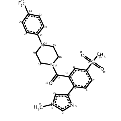 Cn1cnc(-c2ccc(S(C)(=O)=O)cc2C(=O)N2CCN(c3ccc(C(F)(F)F)cc3)CC2)c1